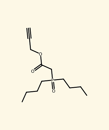 C#CCOC(=O)CP(=O)(CCCC)CCCC